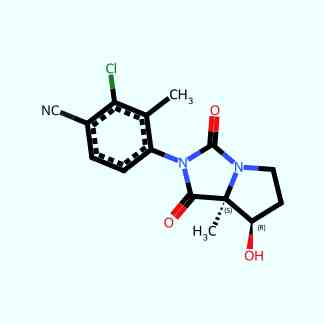 Cc1c(N2C(=O)N3CC[C@@H](O)[C@@]3(C)C2=O)ccc(C#N)c1Cl